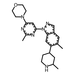 Cc1nc(N2CCOCC2)cc(-n2ncc3cc(C)c(C4CCNC(C)C4)cc32)n1